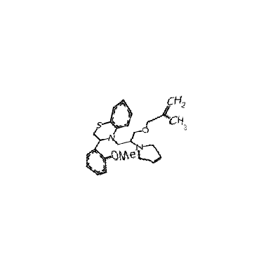 C=C(C)COCC(CN1c2ccccc2SCC1c1ccccc1OC)N1CCCC1